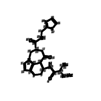 CC[C@H](C)[C@H](NC(C)=O)C(=O)N[C@H]1CCc2ccn3c2C1C(=O)C[C@H](C(=O)NCc1nccs1)C3